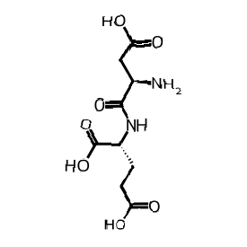 N[C@H](CC(=O)O)C(=O)N[C@H](CCC(=O)O)C(=O)O